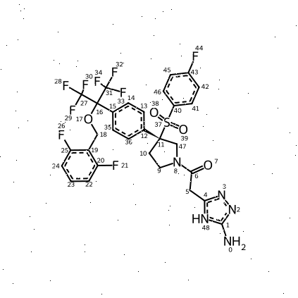 Nc1nnc(CC(=O)N2CC[C@](c3ccc(C(OCc4c(F)cccc4F)(C(F)(F)F)C(F)(F)F)cc3)(S(=O)(=O)c3ccc(F)cc3)C2)[nH]1